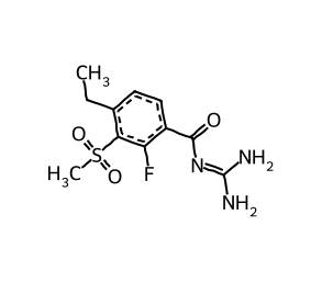 CCc1ccc(C(=O)N=C(N)N)c(F)c1S(C)(=O)=O